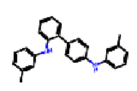 Cc1cccc(Nc2ccc(-c3ccccc3Nc3cccc(C)c3)cc2)c1